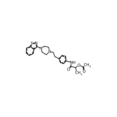 CC(=O)OC(C)C(=O)Nc1ccc(CCN2CCN(c3nsc4ccccc34)CC2)cc1